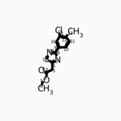 CCOC(=O)Cc1nc(-c2ccc(C)c(Cl)c2)ns1